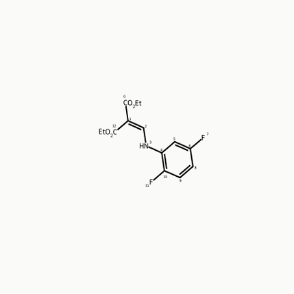 CCOC(=O)C(=CNc1cc(F)ccc1F)C(=O)OCC